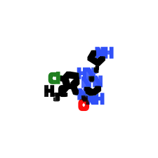 Cc1c(Cl)cccc1Cn1c(=O)[nH]c2cnc(NC[C@@H]3CCNC3)nc21